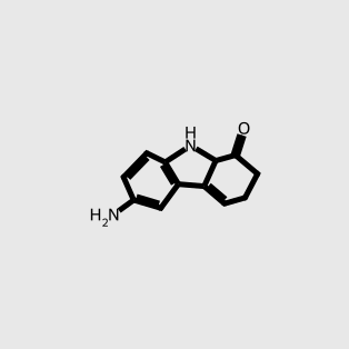 Nc1ccc2c(c1)C1=CCCC(=O)C1N2